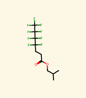 CC(C)COC(=O)CCC(F)(F)C(F)(F)C(F)(F)C(F)(F)F